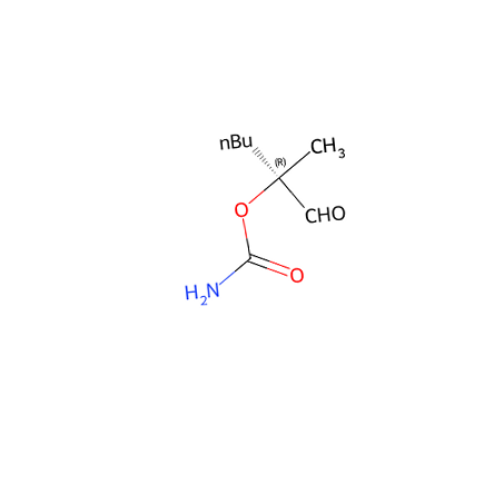 CCCC[C@](C)(C=O)OC(N)=O